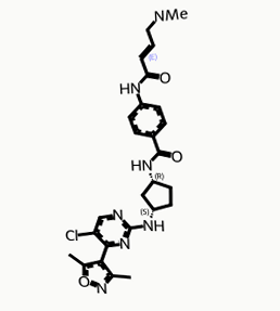 CNC/C=C/C(=O)Nc1ccc(C(=O)N[C@@H]2CC[C@H](Nc3ncc(Cl)c(-c4c(C)noc4C)n3)C2)cc1